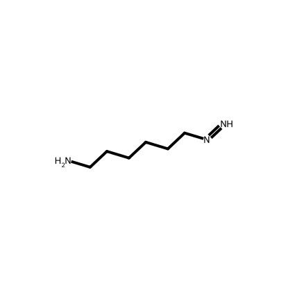 N=NCCCCCCN